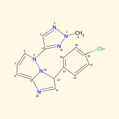 Cn1ncc(N2C=CC=C3N=CC(c4ccc(Cl)cc4)N32)n1